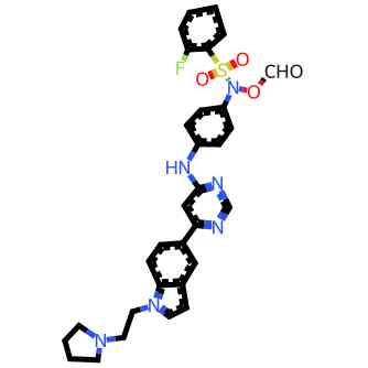 O=CON(c1ccc(Nc2cc(-c3ccc4c(ccn4CCN4CCCC4)c3)ncn2)cc1)S(=O)(=O)c1ccccc1F